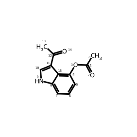 CC(=O)Oc1cccc2[nH]cc(C(C)=O)c12